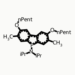 CCCCCOc1cc2c3cc(OCCCCC)c(C)cc3p(N(C(C)C)C(C)C)c2cc1C